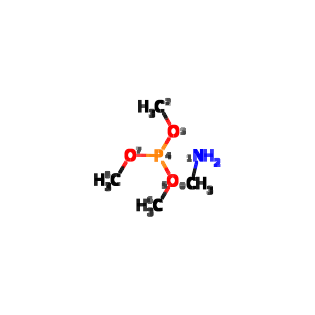 CN.COP(OC)OC